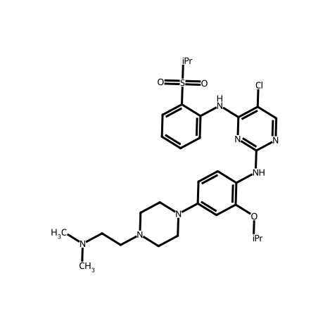 CC(C)Oc1cc(N2CCN(CCN(C)C)CC2)ccc1Nc1ncc(Cl)c(Nc2ccccc2S(=O)(=O)C(C)C)n1